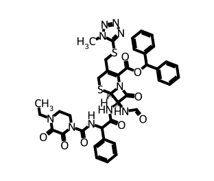 CCN1CCN(C(=O)NC(C(=O)N[C@]2(NC=O)C(=O)N3C(C(=O)OC(c4ccccc4)c4ccccc4)=C(CSc4nnnn4C)CS[C@@H]32)c2ccccc2)C(=O)C1=O